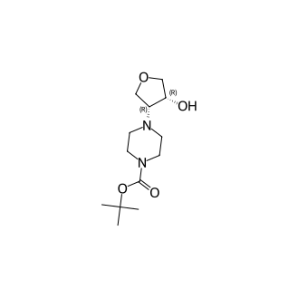 CC(C)(C)OC(=O)N1CCN([C@@H]2COC[C@@H]2O)CC1